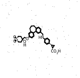 O=C(O)[C@H]1C[C@@H]1c1ccc(NCc2ccc3c(c2)-c2ccc(OCC4(O)CCS(=O)(=O)CC4)cc2CCC3)cc1